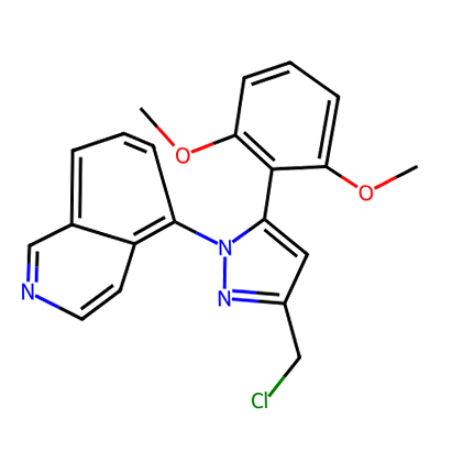 COc1cccc(OC)c1-c1cc(CCl)nn1-c1cccc2cnccc12